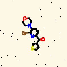 O=C(c1ccsc1)c1ccc(N2CCOCC2)c(Br)n1